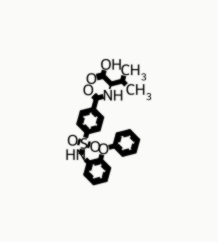 CC(C)[C@H](NC(=O)c1ccc(S(=O)(=O)Nc2ccccc2Oc2ccccc2)cc1)C(=O)O